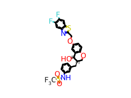 O=S(=O)(Nc1cccc(C[C@@H]2COc3ccc(OCc4nc5cc(F)c(F)cc5s4)cc3[C@@H]2O)c1)C(F)(F)F